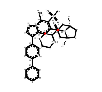 CS(=O)(=O)c1c(C2C[C@H]3CC[C@@H](C2)N3C(=O)C2COCCN2)nc2c(-c3ccc(-c4ccccc4)nc3)cnn2c1N